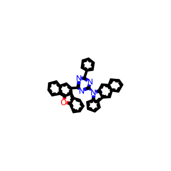 c1ccc(-c2nc(-c3cc4ccccc4c4oc5ccccc5c34)nc(-n3c4ccccc4c4cc5ccccc5cc43)n2)cc1